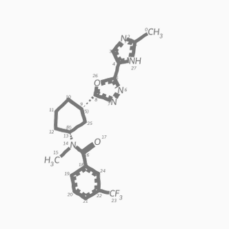 Cc1ncc(-c2nnc([C@H]3CCC[C@@H](N(C)C(=O)c4cccc(C(F)(F)F)c4)C3)o2)[nH]1